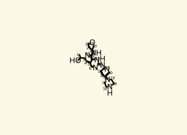 CC(O)c1cc2cnc(Nc3ccc(N4CCNCC4)cn3)nc2c(NC2CCOC2)n1